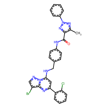 Cc1nn(-c2ccccc2)nc1C(=O)Nc1ccc(CNc2cc(-c3ccccc3Cl)nc3c(Br)cnn23)cc1